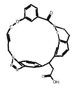 O=C(O)CC1c2ccc3c(c2)CN(CC3)C(=O)c2cccc(c2)OC/C=C/Cn2nnc3cc1ccc32